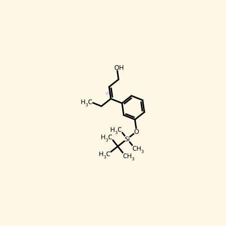 CC/C(=C/CO)c1cccc(O[Si](C)(C)C(C)(C)C)c1